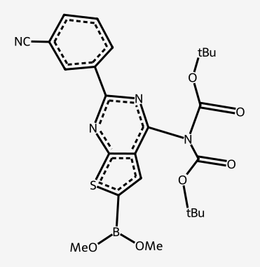 COB(OC)c1cc2c(N(C(=O)OC(C)(C)C)C(=O)OC(C)(C)C)nc(-c3cccc(C#N)c3)nc2s1